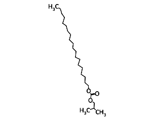 CCCCCCCCCCCCCCCCCCCCOC(=O)OCC(C)C